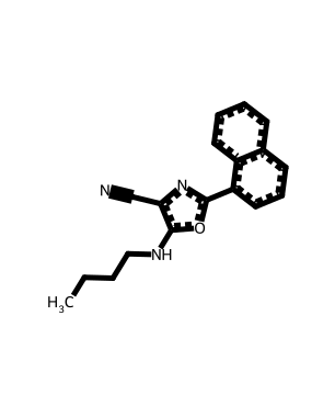 CCCCNc1oc(-c2cccc3ccccc23)nc1C#N